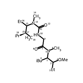 CCC(C)C(C(CC)OC)N(C)C(=O)CNC(=O)N(C)C(CC)[C@@H](C)C(C)C